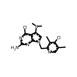 Cc1cnc(Cn2cc(N(C)C)c3c(Cl)nc(N)nc32)c(C)c1Cl